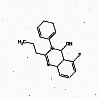 CCCC1=NC2C=CC=C(F)C2C(O)N1C1=CCCC=C1